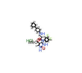 COC(=O)C1=C(C)NC(=O)NC1N(C(=O)CCNC1CCC(c2ccccc2)CC1)c1ccc(F)c(F)c1.Cl